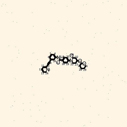 O=C(Nc1cccc(C#Cc2ccccn2)c1)c1ccc(N2CCC(OC3CCCCO3)CC2=O)cc1